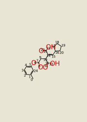 Cc1cccc(OC(=O)CC(C(=O)O)C(=CC2CCCC2)C(=O)O)c1